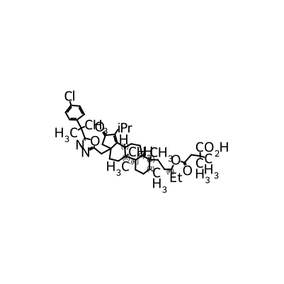 CC[C@H](CC[C@@]1(C)[C@H](C)CC[C@]2(C)[C@@H]1CC[C@@H]1C3=C(C(C)C)C(=O)CC3(Cc3nnc(C(C)(C)c4ccc(Cl)cc4)o3)CC[C@]12C)OC(=O)CC(C)(C)C(=O)O